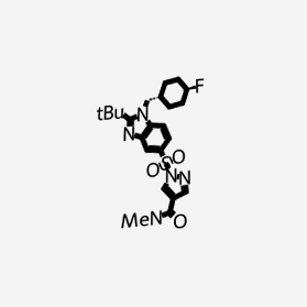 CNC(=O)c1cnn(S(=O)(=O)c2ccc3c(c2)nc(C(C)(C)C)n3C[C@H]2CC[C@H](F)CC2)c1